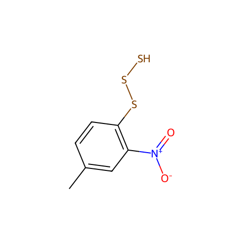 Cc1ccc(SSS)c([N+](=O)[O-])c1